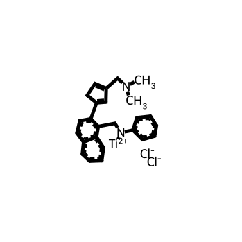 CN(C)CC1=CCC(c2ccc3ccccc3c2C[N]([Ti+2])c2ccccc2)=C1.[Cl-].[Cl-]